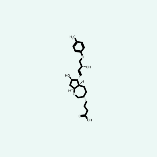 Cc1ccc(OC[C@H](O)/C=C/[C@@H]2[C@H]3CC[C@H](CCCC(=O)O)CO[C@H]3C[C@H]2O)cc1